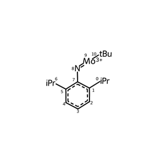 CC(C)c1cccc(C(C)C)c1[N]=[Mo+3][C](C)(C)C